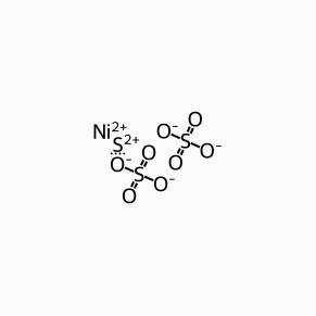 O=S(=O)([O-])[O-].O=S(=O)([O-])[O-].[Ni+2].[S+2]